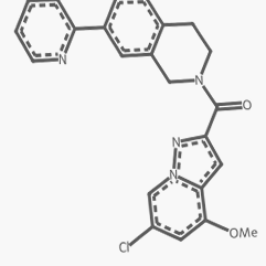 COc1cc(Cl)cn2nc(C(=O)N3CCc4ccc(-c5ccccn5)cc4C3)cc12